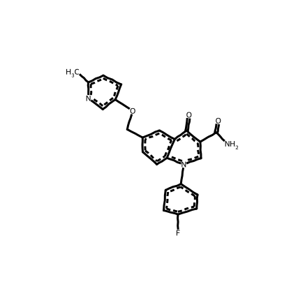 Cc1ccc(OCc2ccc3c(c2)c(=O)c(C(N)=O)cn3-c2ccc(F)cc2)cn1